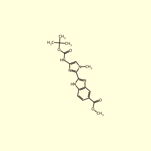 COC(=O)c1ccc2[nH]c(-c3nc(NC(=O)OC(C)(C)C)cn3C)nc2c1